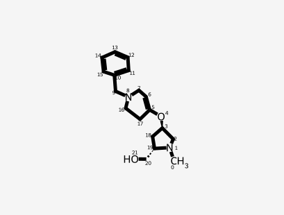 CN1C[C@H](OC2=CCN(Cc3ccccc3)CC2)C[C@H]1CO